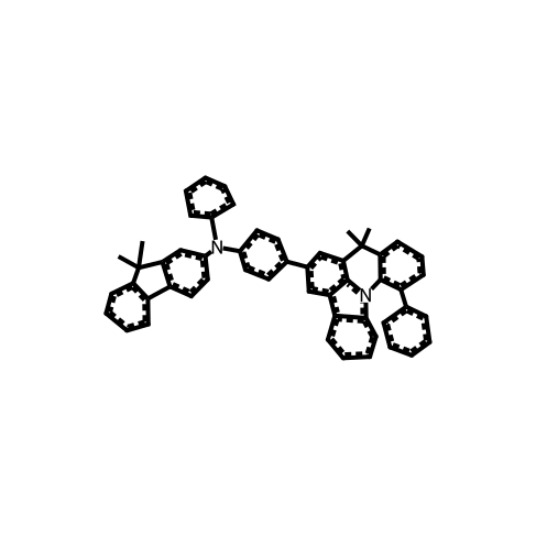 CC1(C)c2ccccc2-c2ccc(N(c3ccccc3)c3ccc(-c4cc5c6c(c4)c4ccccc4n6-c4c(-c6ccccc6)cccc4C5(C)C)cc3)cc21